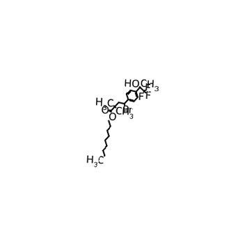 CCCCCCCCCOC(=O)C(C)(C)CC(Br)c1ccc(C(C)(O)C(F)(F)F)cc1